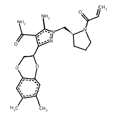 C=CC(=O)N1CCC[C@H]1Cn1nc(C2COc3cc(C)c(C)cc3O2)c(C(N)=O)c1N